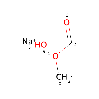 [CH2]OC=O.[Na+].[OH-]